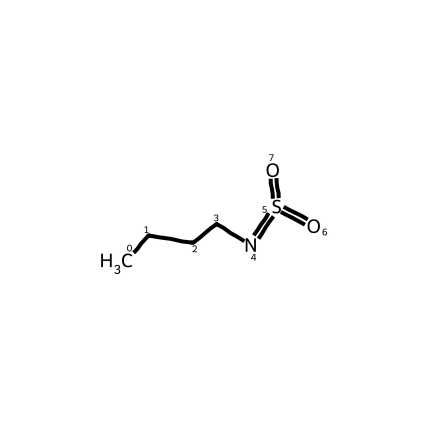 CCCCN=S(=O)=O